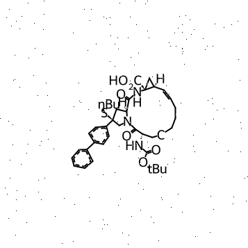 CCCCS[C@@]1(c2ccc(-c3ccccc3)cc2)C[C@H]2C(=O)N[C@]3(C(=O)O)C[C@H]3/C=C\CCCCC[C@H](NC(=O)OC(C)(C)C)C(=O)N2C1